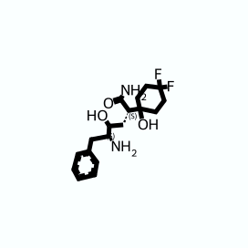 NC(=O)[C@@H](CC(O)[C@@H](N)Cc1ccccc1)C1(O)CCC(F)(F)CC1